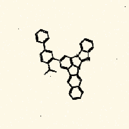 CC(C)c1ccc(-c2ccccc2)cc1-c1cc2c3cc4ccccc4cc3n3c2c(c1)n1c2ccccc2nc13